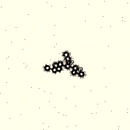 c1ccc(-c2ccc3ccc4c(-c5ccc(-c6ccc7c8c(cccc68)-c6ccccc6O7)c6oc7cc8ccccc8cc7c56)ccc5ccc2c3c54)cc1